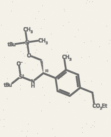 CCOC(=O)Cc1ccc([C@@H](CO[Si](C)(C)C(C)(C)C)N[S+]([O-])C(C)(C)C)c(C)c1